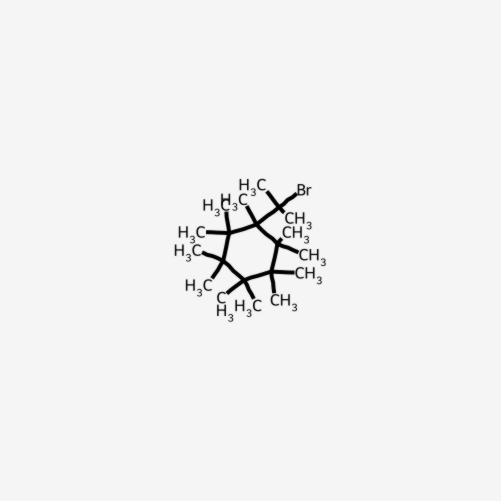 CC(C)(Br)C1(C)C(C)(C)C(C)(C)C(C)(C)C(C)(C)C1(C)C